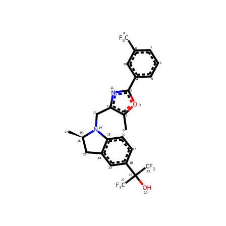 Cc1oc(-c2cccc(C(F)(F)F)c2)nc1CN1c2ccc(C(O)(C(F)(F)F)C(F)(F)F)cc2C[C@H]1C